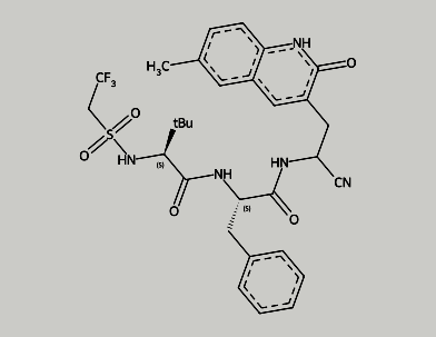 Cc1ccc2[nH]c(=O)c(CC(C#N)NC(=O)[C@H](Cc3ccccc3)NC(=O)[C@@H](NS(=O)(=O)CC(F)(F)F)C(C)(C)C)cc2c1